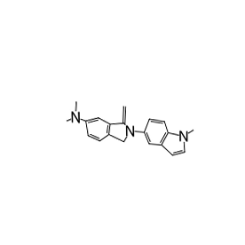 C=C1c2cc(N(C)C)ccc2CN1c1ccc2c(ccn2C)c1